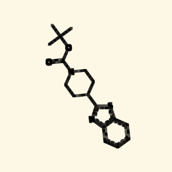 CC(C)(C)OC(=O)N1CCC(c2nc3ccccc3s2)CC1